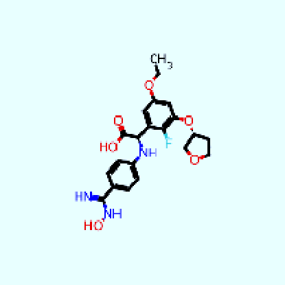 CCOc1cc(O[C@@H]2CCOC2)c(F)c([C@@H](Nc2ccc(C(=N)NO)cc2)C(=O)O)c1